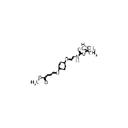 COC(=O)CCCOC1CCC(OCCNC(=O)OC(C)(C)C)CC1